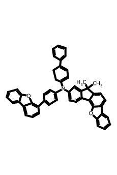 CC1(C)c2cc(N(C3=CC=C(c4ccccc4)CC3)c3ccc(-c4cccc5c4oc4ccccc45)cc3)ccc2-c2c1ccc1c2oc2ccccc21